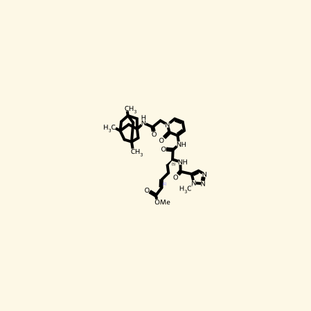 COC(=O)/C=C/CC[C@H](NC(=O)c1cnnn1C)C(=O)Nc1cccn(CC(=O)NC23CC4(C)CC(C)(CC(C)(C4)C2)C3)c1=O